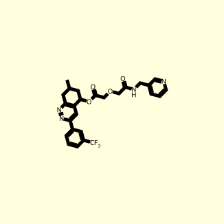 CC1Cc2nnc(-c3cccc(C(F)(F)F)c3)cc2C(OC(=O)COCC(=O)NCc2cccnc2)C1